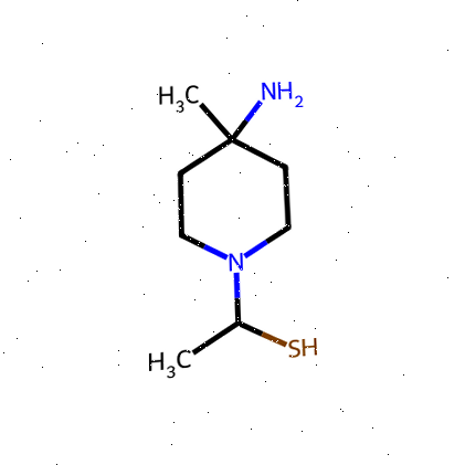 CC(S)N1CCC(C)(N)CC1